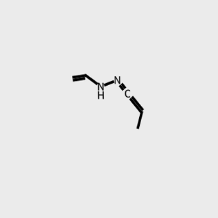 C=CNN=C=CC